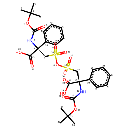 CC(C)(C)OC(=O)N[C@](CS(=O)(=O)OS(=O)(=O)C[C@@](NC(=O)OC(C)(C)C)(C(=O)O)c1ccccc1)(C(=O)O)c1ccccc1